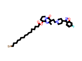 Cc1nc2n(c(=O)c1CCN1CCC(c3noc4cc(F)ccc34)CC1)CCCC2OC(=O)CCCCCCCCCCCCCCCBr